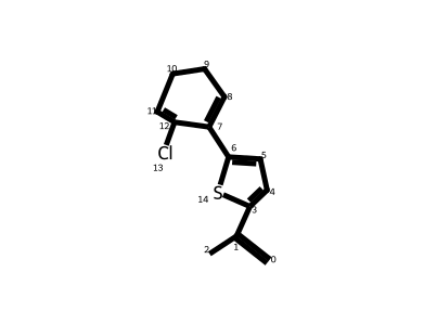 C=C(C)c1ccc(C2=CCCC=C2Cl)s1